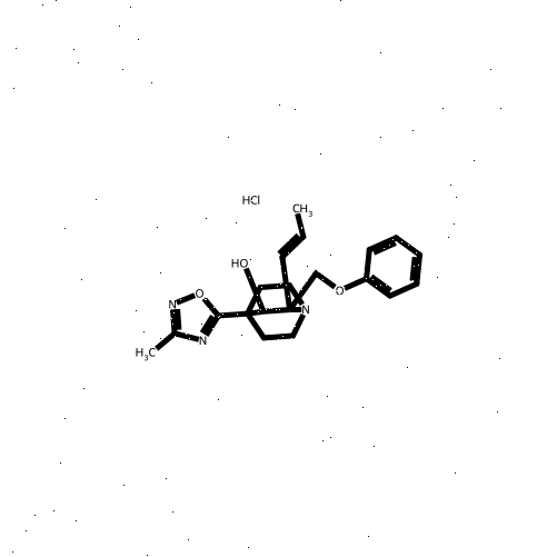 CC=CC1(COc2ccccc2)C(O)C2(c3nc(C)no3)CCN1CC2.Cl